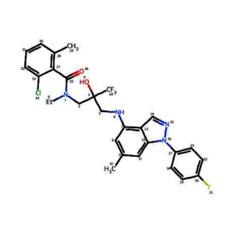 CCN(CC(O)(CNc1cc(C)cc2c1cnn2-c1ccc(F)cc1)C(F)(F)F)C(=O)c1c(C)cccc1Cl